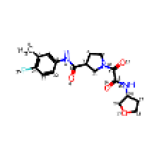 Cc1cc(NC(=O)C2CCN(C(=O)C(=O)N[C@H]3CCOC3)C2)ccc1F